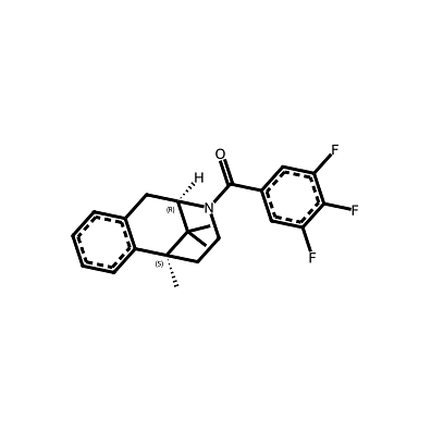 CC1(C)[C@H]2Cc3ccccc3[C@]1(C)CCN2C(=O)c1cc(F)c(F)c(F)c1